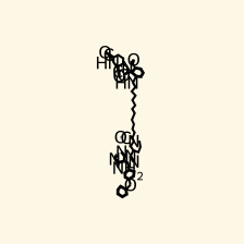 Nc1ncnc2c1c(-c1ccc(Oc3ccccc3)cc1)nn2C1CCCN(C(=C=O)CCCCCCCCCCCNc2cccc3c2C(=O)N(C2CCC(=C=O)NC2=C=O)C3=O)C1